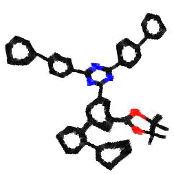 CC1(C)OB(c2cc(-c3nc(-c4ccc(-c5ccccc5)cc4)nc(-c4ccc(-c5ccccc5)cc4)n3)cc(-c3ccccc3-c3ccccc3)c2)OC1(C)C